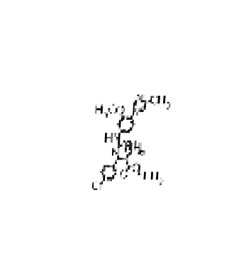 C=C(/N=C(\C(=C/N)C(=O)OCC)c1ccc(Cl)cc1)Nc1ccc(-n2cnc(C)c2)c(OC)c1